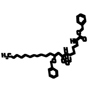 CCCCCCCCCCCC(CC(=O)N[C@@H](CO)CCCNC(=O)OCc1ccccc1)OCc1ccccc1